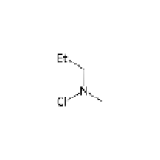 CCCN(C)Cl